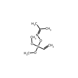 C=C[Si](OC)(OC)ON=C(C)C